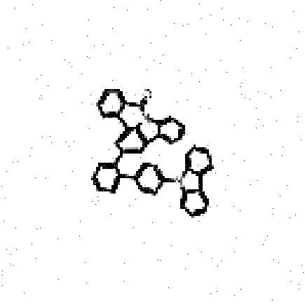 O=c1c2ccccc2c2cc(-c3ccccc3-c3ccc(-n4c5ccccc5c5ccccc54)cc3)cc3c4ccccc4n1c23